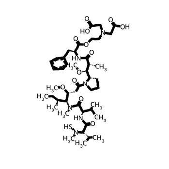 CC[C@H](C)[C@@H]([C@@H](CC(=O)N1CCC[C@H]1[C@H](OC)[C@@H](C)C(=O)N[C@@H](Cc1ccccc1)C(=O)OCCN(CC(=O)O)CC(=O)O)OC)N(C)C(=O)[C@@H](NC(=O)[C@H](C(C)C)N(C)S)C(C)C